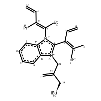 C=C/C(=C(\C)CCC)c1n(/C(CC)=C(/C=C)C(C)C)c2ccccc2[n+]1CC(=C)C[C@H](C)CC